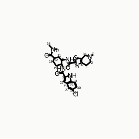 CN1CCc2nc(C(=O)NC3CC(C(=O)N(C)C)CCC3NC(=O)c3cc4cc(Cl)ccc4[nH]3)sc2C1